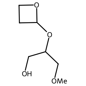 COCC(CO)OC1CCO1